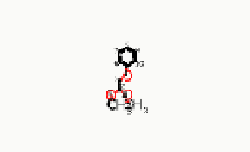 COC(COc1[c]cccc1)OC